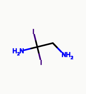 NCC(N)(I)I